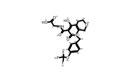 O=C(O)CNC(=O)c1c(O)c2c(n(Cc3ccc(OC(F)(F)F)cc3)c1=O)COCC2